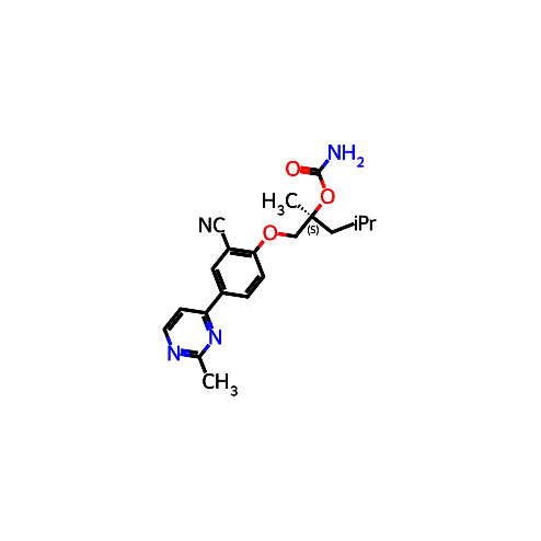 Cc1nccc(-c2ccc(OC[C@](C)(CC(C)C)OC(N)=O)c(C#N)c2)n1